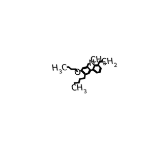 C=Cc1cccc2c1N(C)Cc1cc(OCCCC)c(CCCCC)cc1-2